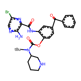 CC(C)(C)N(C(=O)Oc1ccc(C(=O)c2ccccc2)cc1NC(=O)c1nc(Br)cnc1N)C1CCCNC1